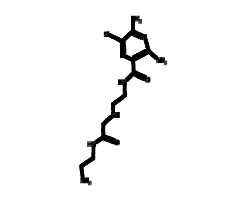 NCCNC(=O)CNCCNC(=O)c1nc(Cl)c(N)nc1N